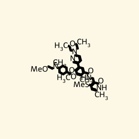 COCCN(C)C1CCC(C2(C)Oc3c(-c4ccc(N5CC(C)OC(C)C5)nc4)cc(C(=O)NCc4c(SC)cc(C)[nH]c4=O)c(C)c3O2)CC1